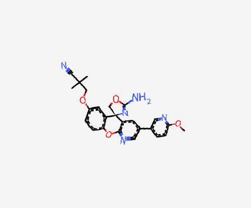 COc1ccc(-c2cnc3c(c2)[C@]2(COC(N)=N2)c2cc(OCC(C)(C)C#N)ccc2O3)cn1